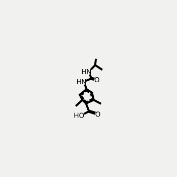 Cc1cc(NC(=O)NC(C)C)cc(C)c1C(=O)O